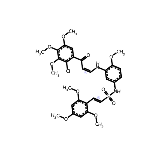 COc1cc(OC)c(/C=C/S(=O)(=O)Nc2ccc(OC)c(N/C=C\C(=O)c3cc(OC)c(OC)c(OC)c3Cl)c2)c(OC)c1